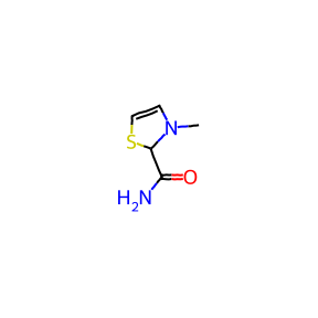 CN1C=CSC1C(N)=O